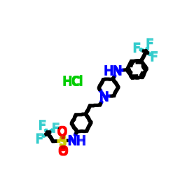 Cl.O=S(=O)(CC(F)(F)F)NC1CCC(CCN2CCC(Nc3cccc(C(F)(F)F)c3)CC2)CC1